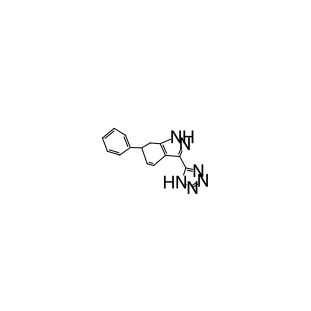 C1=CC(c2ccccc2)Cc2[nH]nc(-c3nnn[nH]3)c21